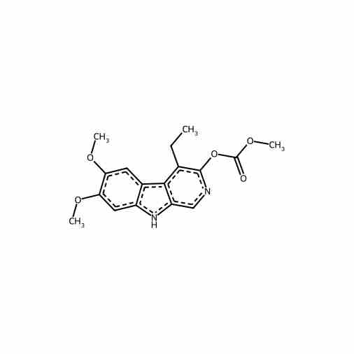 CCc1c(OC(=O)OC)ncc2[nH]c3cc(OC)c(OC)cc3c12